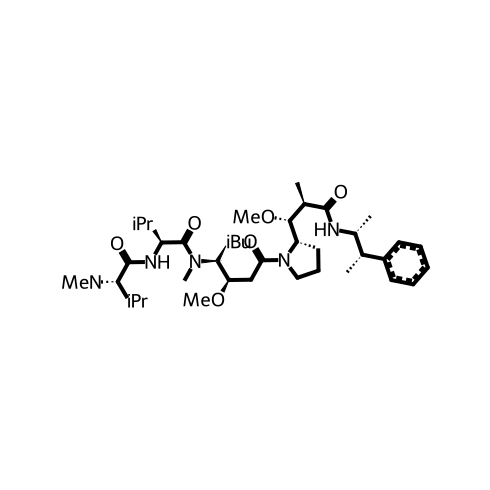 CC[C@H](C)[C@@H]([C@@H](CC(=O)N1CCC[C@H]1[C@H](OC)[C@@H](C)C(=O)N[C@H](C)[C@@H](C)c1ccccc1)OC)N(C)C(=O)[C@@H](NC(=O)[C@@H](NC)C(C)C)C(C)C